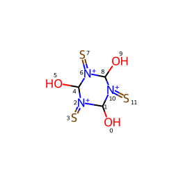 OC1[N+](=S)C(O)[N+](=S)C(O)[N+]1=S